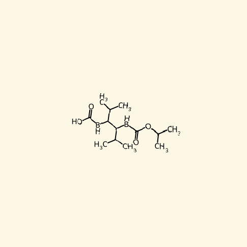 CC(C)OC(=O)BC(C(C)C)C(BC(=O)O)C(C)C